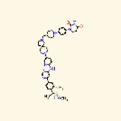 CNSC(C)c1ccc(-c2cc(Nc3ccc(N4CCC5(CCN(CC6CCN(c7ccc(N8CCC(=O)NC8=O)cc7)CC6)C5)CC4)cn3)ncn2)cc1C